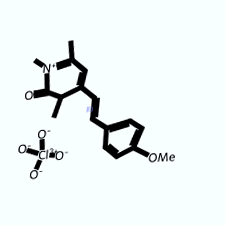 COc1ccc(/C=C/C2=CC(C)=[N+](C)C(=O)C2C)cc1.[O-][Cl+3]([O-])([O-])[O-]